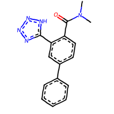 CN(C)C(=O)c1ccc(-c2ccccc2)cc1-c1nnn[nH]1